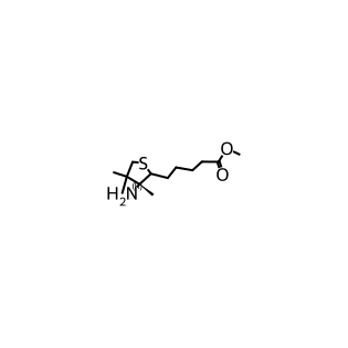 COC(=O)CCCCC1SCC(C)(C)[C@@]1(C)N